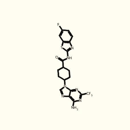 Nc1nc(C(F)(F)F)nc2c1ncn2C1CCC(C(=O)Nc2nc3ccc(F)cc3s2)CC1